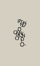 Cc1cccc(COc2nc(C)n(-c3cc(-c4ccnc(C(C)C)n4)ccc3Cl)c(=O)c2Cl)c1